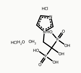 Cl.Cl.O.O.O=P(O)(O)C(O)(Cn1ccnc1)P(=O)(O)O